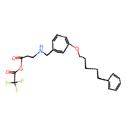 O=C(CCNCc1cccc(OCCCCCc2ccccc2)c1)OC(=O)C(F)(F)F